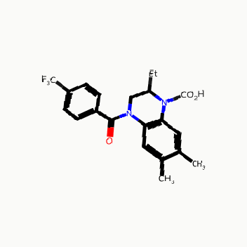 CCC1CN(C(=O)c2ccc(C(F)(F)F)cc2)c2cc(C)c(C)cc2N1C(=O)O